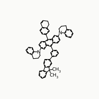 CC1(C)c2ccccc2-c2ccc(-c3cccc(-c4c5ccc(N6CCCc7ccccc76)cc5c(-c5ccc6c(c5)CCC=C6)c5ccc(N6CCCc7ccccc76)cc45)c3)cc21